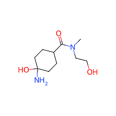 CN(CCO)C(=O)C1CCC(N)(O)CC1